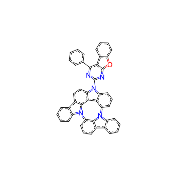 c1ccc(-c2nc(-n3c4cccc5c4c4c3ccc3c6ccccc6n(c6cccc7c8ccccc8n5c76)c34)nc3oc4ccccc4c23)cc1